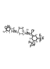 Cc1cc(CN[C@H]2CC[C@@H](CNC(=O)c3cc(C(F)(F)F)cc(C(F)(F)F)c3)CC2)no1